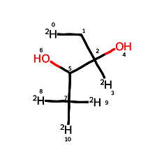 [2H]CC([2H])(O)C(O)C([2H])([2H])[2H]